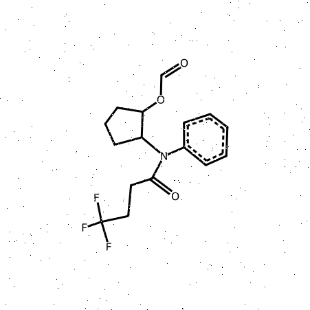 O=COC1CCCC1N(C(=O)CCC(F)(F)F)c1ccccc1